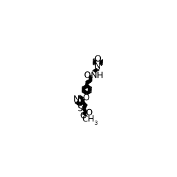 COC(=O)c1cc2c(Oc3ccc(C=CC(=O)NCCN4CCOCC4)cc3)cncc2s1